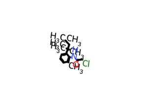 Cc1cccc(C(C)(C)CC(C)(C)C)c1NC(=O)CCl